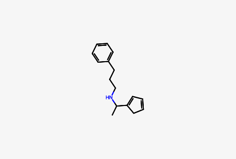 CC(NCCCc1ccccc1)C1=CC=CC1